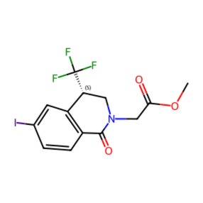 COC(=O)CN1C[C@@H](C(F)(F)F)c2cc(I)ccc2C1=O